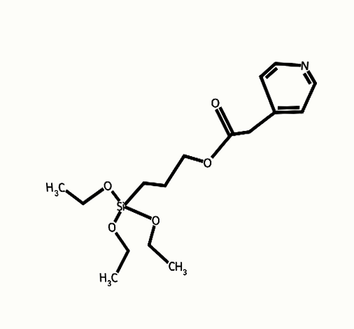 CCO[Si](CCCOC(=O)Cc1ccncc1)(OCC)OCC